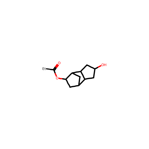 CCC(=O)OC1CC2CC1C1CC(O)CC21